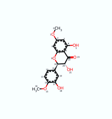 COc1cc(O)c2c(c1)O[C@H](c1ccc(OC)c(O)c1)[C@@H](O)C2=O